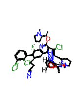 CC(=O)N1CCCC1c1c(Cl)c2c(OC(C)C3CCCN3C)nc3c(F)c(-c4cccc(Cl)c4Cl)c(CCC#N)cc3c2n1[C@H]1[C@H]2CN[C@@H]1C2